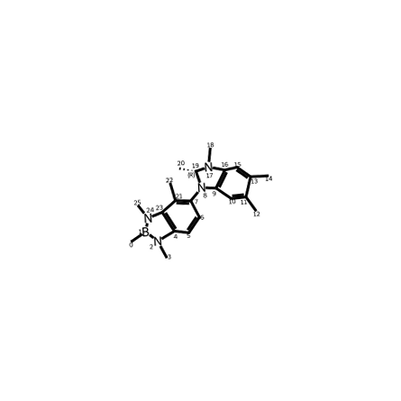 CB1N(C)c2ccc(N3c4cc(C)c(C)cc4N(C)[C@H]3C)c(C)c2N1C